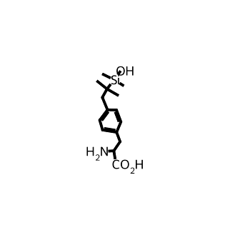 CC(C)(Cc1ccc(CC(N)C(=O)O)cc1)[Si](C)(C)O